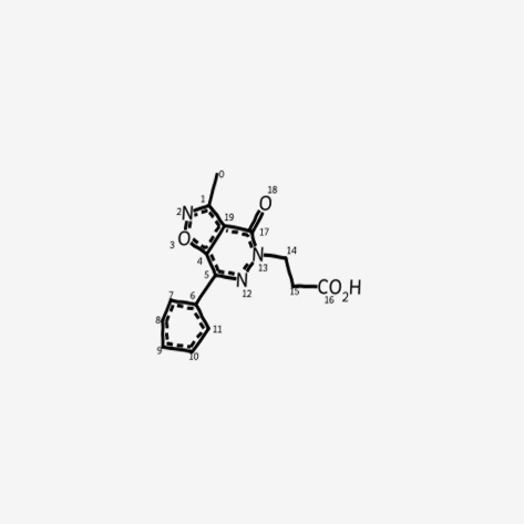 Cc1noc2c(-c3ccccc3)nn(CCC(=O)O)c(=O)c12